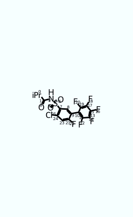 CC(C)C(=O)NS(=O)(=O)c1cc(-c2c(F)c(F)c(F)c(F)c2F)c(F)cc1Cl